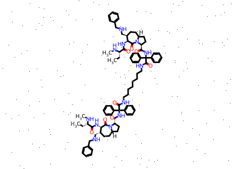 CC[C@H](NC)C(=O)N[C@@H]1C(=O)N2[C@@H](CC[C@@H]1CNCc1ccccc1)CC[C@H]2C(=O)NC(C(=O)NCCCCCCCCNC(=O)C(NC(=O)[C@@H]1CC[C@@H]2CC[C@H](CNCc3ccccc3)[C@H](NC(=O)[C@H](CC)NC)C(=O)N21)(c1ccccc1)c1ccccc1)(c1ccccc1)c1ccccc1